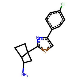 NC1CC2(c3nc(-c4ccc(Cl)cc4)cs3)CCC12